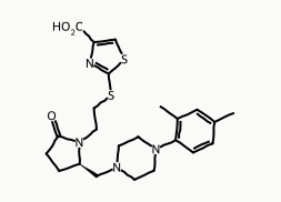 Cc1ccc(N2CCN(C[C@H]3CCC(=O)N3CCSc3nc(C(=O)O)cs3)CC2)c(C)c1